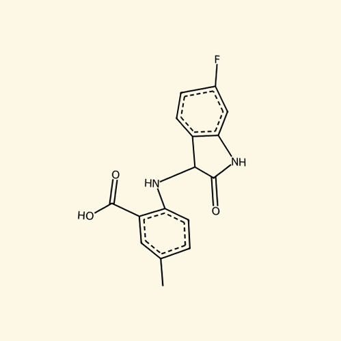 Cc1ccc(NC2C(=O)Nc3cc(F)ccc32)c(C(=O)O)c1